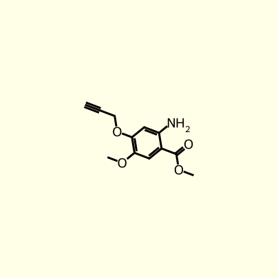 C#CCOc1cc(N)c(C(=O)OC)cc1OC